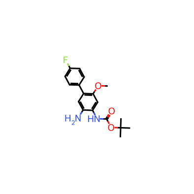 COc1cc(NC(=O)OC(C)(C)C)c(N)cc1-c1ccc(F)cc1